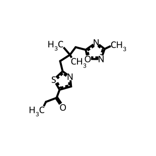 CCC(=O)c1cnc(CC(C)(C)Cc2nc(C)no2)s1